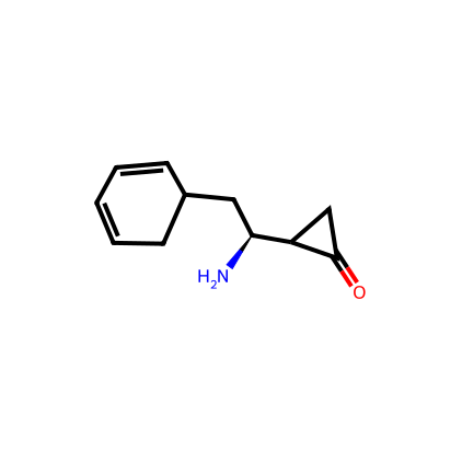 N[C@@H](CC1C=CC=CC1)C1CC1=O